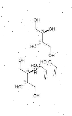 C=CC(=O)O.C=CC(=O)O.OC[C@@H](O)[C@@H](O)CO.OC[C@@H](O)[C@@H](O)CO